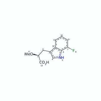 CO[C@@H](Cc1c[nH]c2c(F)cccc12)C(=O)O